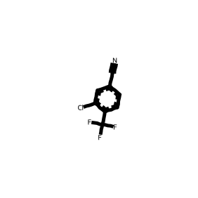 N#Cc1ccc(C(F)(F)F)c(Cl)c1